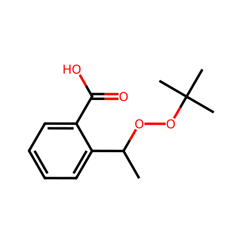 CC(OOC(C)(C)C)c1ccccc1C(=O)O